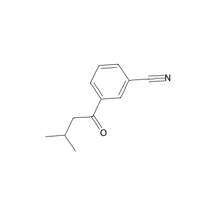 CC(C)CC(=O)c1cccc(C#N)c1